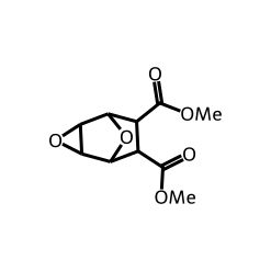 COC(=O)C1C2OC(C3OC32)C1C(=O)OC